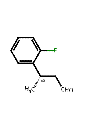 C[C@@H](CC=O)c1ccccc1F